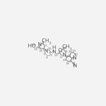 Cc1cc(N2CCC[C@@H](NCC3CN(c4ccc(C#N)c5ncccc45)CC(C)O3)C2)cc(CO)n1